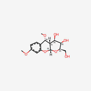 COc1ccc2c(c1)O[C@H]1O[C@H](CO)[C@H](O)[C@H](O)[C@H]1[C@H]2OC